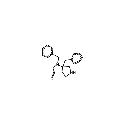 O=C1CN(Cc2ccccc2)C2(Cc3ccccc3)CNCC12